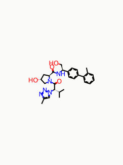 Cc1cn([C@H](C(=O)N2C[C@H](O)C[C@H]2C(=O)N[C@@H](CO)c2ccc(-c3ccccc3C)cc2)C(C)C)nn1